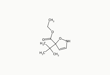 CCOC(=O)C1(C(C)(C)C)C=CNO1